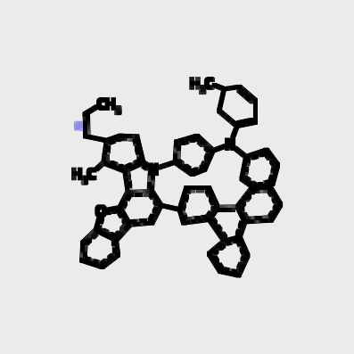 C/C=C\c1ccc2c(c1C)c1c3oc4ccccc4c3cc(-c3ccc4c5ccccc5c5ccccc5c4c3)c1n2-c1ccc(N(C2=CC=CC(C)C2)c2ccccc2)cc1